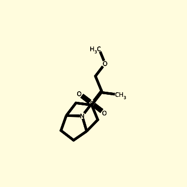 CCC1CC2CCC(C1)N2S(=O)(=O)CCOC